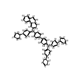 C1=CCC(c2ccc(N(c3ccc(-c4ccccc4)cc3)c3ccc(-c4ccc(N(c5ccc(-c6ccccc6)cc5)c5ccc6ccc7ccccc7c6c5)cc4)cc3)cc2)CC1